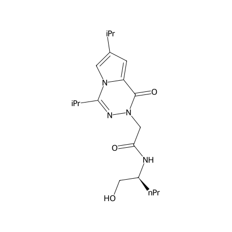 CCC[C@@H](CO)NC(=O)Cn1nc(C(C)C)n2cc(C(C)C)cc2c1=O